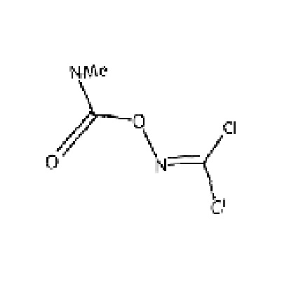 CNC(=O)ON=C(Cl)Cl